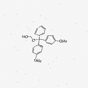 COc1ccc(C(OCO)(c2ccccc2)c2ccc(OC)cc2)cc1